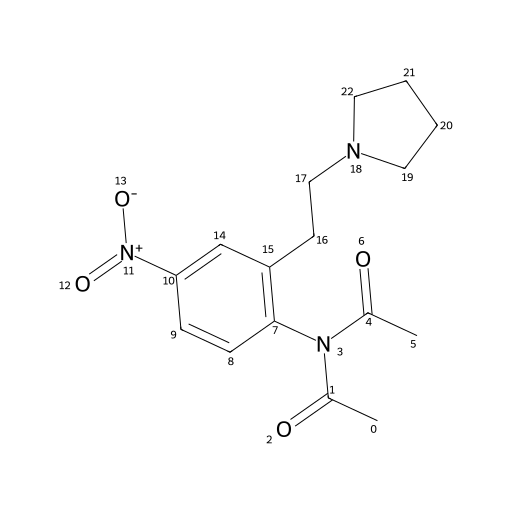 CC(=O)N(C(C)=O)c1ccc([N+](=O)[O-])cc1CCN1CCCC1